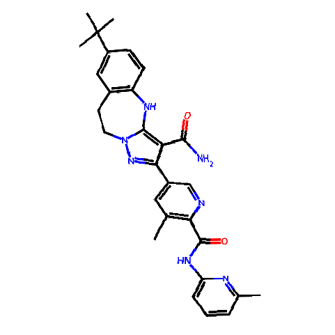 Cc1cccc(NC(=O)c2ncc(-c3nn4c(c3C(N)=O)Nc3ccc(C(C)(C)C)cc3CC4)cc2C)n1